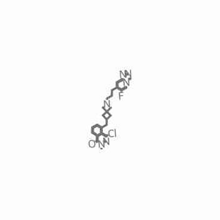 Cn1nc(Cl)c2c(CC3CC4(C3)CN(CCCc3cc5nncn5cc3F)C4)cccc2c1=O